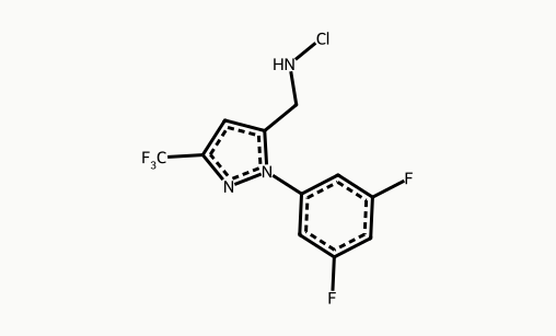 Fc1cc(F)cc(-n2nc(C(F)(F)F)cc2CNCl)c1